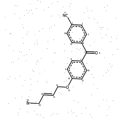 N#Cc1ccc(C(=O)c2ccc(OCC=CCBr)cc2)cc1